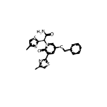 Cc1csc(-c2cc(OCc3ccccc3)cn(C(C(N)=O)c3nc(C)cs3)c2=O)n1